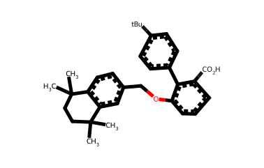 CC(C)(C)c1ccc(-c2c(OCc3ccc4c(c3)C(C)(C)CCC4(C)C)cccc2C(=O)O)cc1